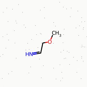 COCC=N